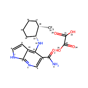 NC(=O)c1cnc2[nH]ccc2c1N[C@@H]1CCCC[C@@H]1C(F)(F)F.O=C(O)C(=O)O